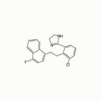 Fc1ccc(CCc2c(Cl)cccc2C2=NCCN2)c2ccccc12